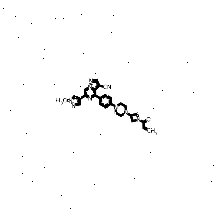 C=CC(=O)N1CC(N2CCN(c3ccc(-c4nc(-c5cnn(C)c5)cn5ncc(C#N)c45)cc3)CC2)C1